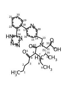 CCCCC(=O)C(CCC)C(=O)N(Cc1ccc(-c2ccccc2-c2nnn[nH]2)nc1)[C@H](C(=O)O)C(C)C